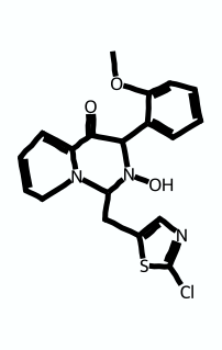 COc1ccccc1C1C(=O)C2=CC=CCN2C(Cc2cnc(Cl)s2)N1O